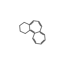 C1=CC=C2C=CC=C3CCCCC3=C2C=C1